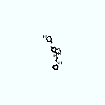 c1ccc(NCCNc2ncnc3cc(OCC4CCNCC4)ccc23)cc1